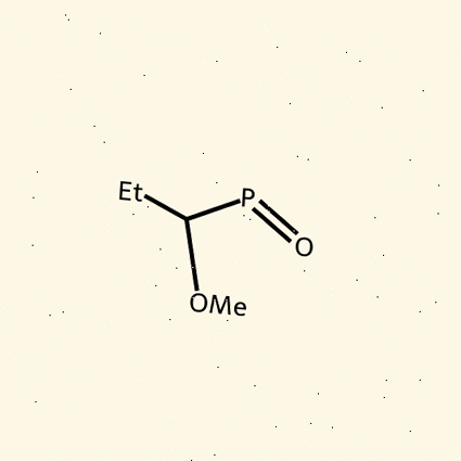 CCC(OC)P=O